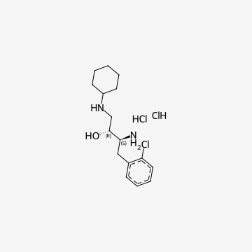 Cl.Cl.N[C@@H](Cc1ccccc1Cl)[C@H](O)CNC1CCCCC1